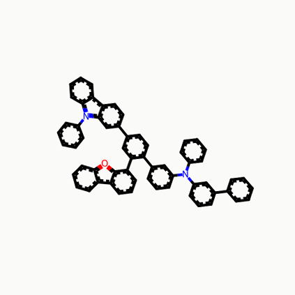 c1ccc(-c2cccc(N(c3ccccc3)c3cccc(-c4ccc(-c5ccc6c7ccccc7n(-c7ccccc7)c6c5)cc4-c4cccc5c4oc4ccccc45)c3)c2)cc1